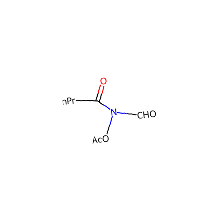 CCCC(=O)N(C=O)OC(C)=O